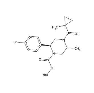 C[C@@H]1CN(C(=O)OC(C)(C)C)[C@@H](c2ccc(Br)cc2)CN1C(=O)C1(C)CC1